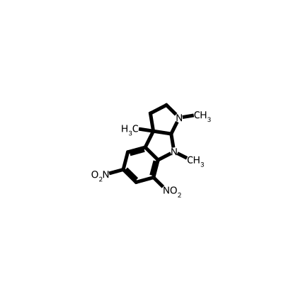 CN1CCC2(C)c3cc([N+](=O)[O-])cc([N+](=O)[O-])c3N(C)C12